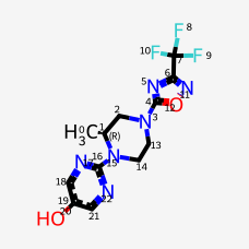 C[C@@H]1CN(c2nc(C(F)(F)F)no2)CCN1c1ncc(O)cn1